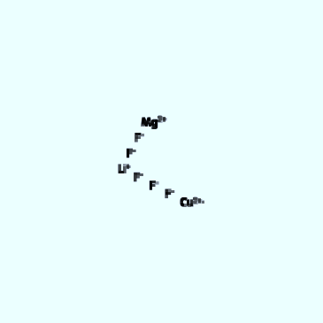 [Cu+2].[F-].[F-].[F-].[F-].[F-].[Li+].[Mg+2]